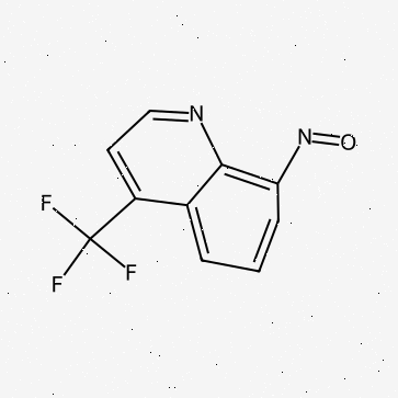 O=Nc1cccc2c(C(F)(F)F)ccnc12